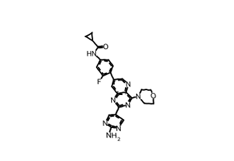 Nc1ncc(-c2nc(N3CCOCC3)c3ncc(-c4ccc(NC(=O)C5CC5)cc4F)cc3n2)cn1